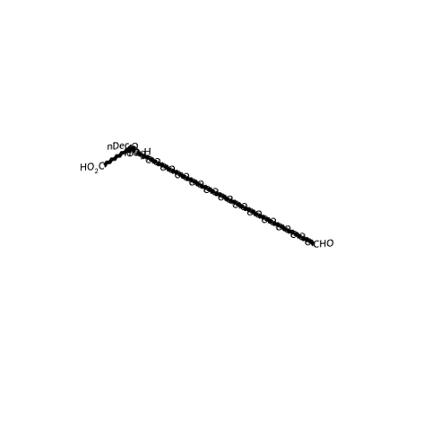 CCCCCCCCCCCC(CCCCCCCCCCC(=O)O)(C(=O)O)C(=O)NCCOCCOCCOCCOCCOCCOCCOCCOCCOCCOCCOCCOCCOCCOCCOCCOCCOCCOCCOCCOCCOCCOCCOCCOCCC=O